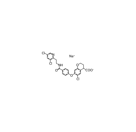 O=C(NCCc1ncc(Cl)cc1Cl)c1ccc(Oc2cc3c(cc2Cl)C(C(=O)[O-])CCO3)cc1.[Na+]